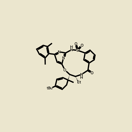 CC[C@H]1NC(=O)c2cccc(c2)S(=O)(=O)Nc2nc(cc(-c3c(C)cccc3C)n2)O[C@H]1C1(C)C=CC(C(C)(C)C)=CC1